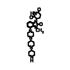 Cn1c(=O)n(C2CCC(=O)NC2=O)c2cccc(N3CCN(C4CCN(C5CCNCC5)CC4)CC3)c21